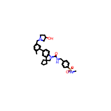 CNS(=O)(=O)c1ccc(CNC(=O)N2CC3(CCCC3)c3cc(-c4cc(CN5CCC(O)C5)ccc4C)ccc32)cc1